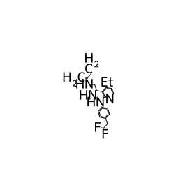 C=CC(=C)NCC(=N)c1c(CC)ccnc1Nc1ccc(CC(F)F)cc1